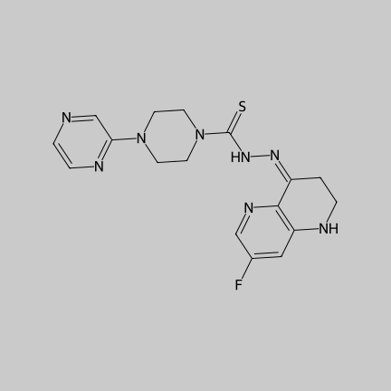 Fc1cnc2c(c1)NCC/C2=N/NC(=S)N1CCN(c2cnccn2)CC1